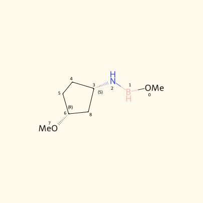 COBN[C@H]1CC[C@@H](OC)C1